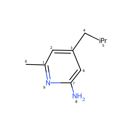 Cc1cc(CC(C)C)cc(N)n1